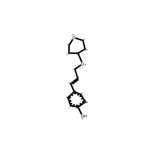 Oc1ccc(C=CCOC2CCOCC2)cc1